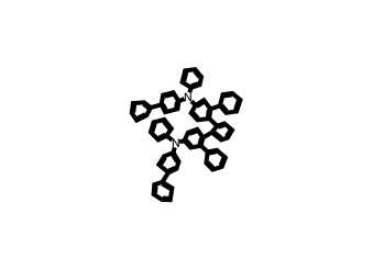 c1ccc(-c2ccc(N(c3ccccc3)c3ccc(-c4ccccc4-c4ccc(N(c5ccccc5)c5ccc(-c6ccccc6)cc5)cc4-c4ccccc4)c(-c4ccccc4)c3)cc2)cc1